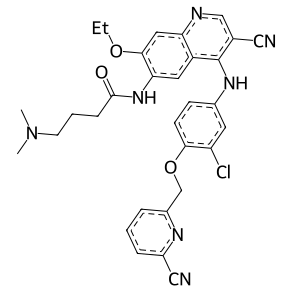 CCOc1cc2ncc(C#N)c(Nc3ccc(OCc4cccc(C#N)n4)c(Cl)c3)c2cc1NC(=O)CCCN(C)C